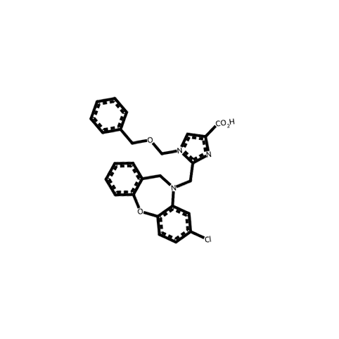 O=C(O)c1cn(COCc2ccccc2)c(CN2Cc3ccccc3Oc3ccc(Cl)cc32)n1